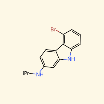 CC(C)Nc1ccc2c(c1)[nH]c1cccc(Br)c12